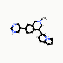 CN1Cc2cc(-c3cncnc3)ccc2C(c2ccc3cccn3c2)C1